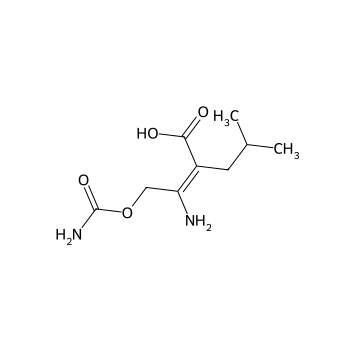 CC(C)CC(C(=O)O)=C(N)COC(N)=O